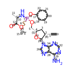 C#C[C@H]1C[C@@H](COP(=S)(N[C@@H](C)C(=O)OC(C)C)Oc2ccccc2)O[C@H]1n1cnc2c(N)ncnc21